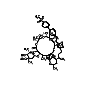 CC[C@H]1OC(=O)[C@H](C)[C@@H](O[C@H]2C[C@@](C)(OC)[C@@H](O)[C@H](C)O2)[C@H](C)[C@@H](O[C@@H]2O[C@H](C)C[C@H](N(C)CCc3cn([C@H](CF)Cc4ccc(-c5ccc(S(C)(=O)=O)cc5)cc4)nn3)[C@H]2O)[C@](C)(O)CC[C@@H](C)CN(C)[C@H](C)[C@@H](O)C[C@]1(C)O